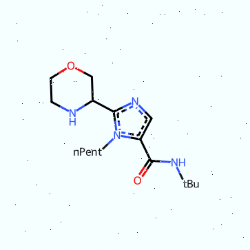 CCCCCn1c(C(=O)NC(C)(C)C)cnc1C1COCCN1